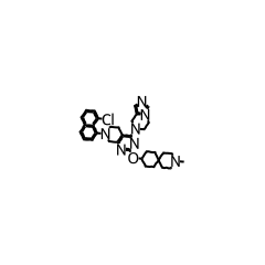 CN1CCC2(CCC(Oc3nc4c(c(N5CCn6cncc6C5)n3)CCN(c3cccc5cccc(Cl)c35)C4)CC2)CC1